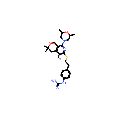 CC1CN(c2nc(SCCc3ccc(NC(=N)N)cc3)c(C#N)c3c2COC(C)(C)C3)CC(C)O1